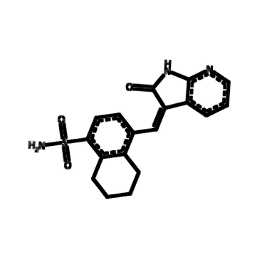 NS(=O)(=O)c1ccc(C=C2C(=O)Nc3ncccc32)c2c1CCCC2